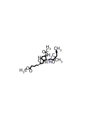 CC#CCC(C)(C)[C@H](O)/C=C/[C@@H]1[C@H]2C[C@@H](CCCCC(=O)OC)O[C@H]2C[C@H]1OC(C)=O